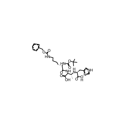 C[C@@H](N[C@@H](Cc1c[nH]cn1)C(=O)O)[C@H](NC(=O)[C@H](CCCCNC(=O)OCc1ccccc1)NC(=O)OC(C)(C)C)C(=O)O